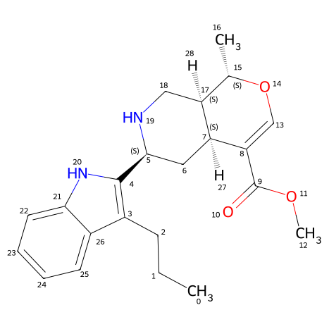 CCCc1c([C@@H]2C[C@@H]3C(C(=O)OC)=CO[C@@H](C)[C@@H]3CN2)[nH]c2ccccc12